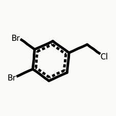 ClCc1ccc(Br)c(Br)c1